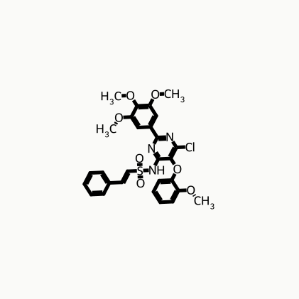 COc1ccccc1Oc1c(Cl)nc(-c2cc(OC)c(OC)c(OC)c2)nc1NS(=O)(=O)/C=C/c1ccccc1